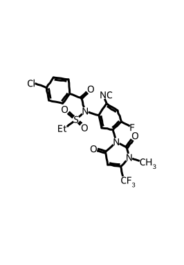 CCS(=O)(=O)N(C(=O)c1ccc(Cl)cc1)c1cc(-n2c(=O)cc(C(F)(F)F)n(C)c2=O)c(F)cc1C#N